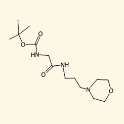 CC(C)(C)OC(=O)NCC(=O)NCCCN1CCOCC1